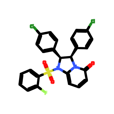 O=c1cccc2n1[C@H](c1ccc(Cl)cc1)[C@H](c1ccc(Cl)cc1)N2S(=O)(=O)c1ccccc1F